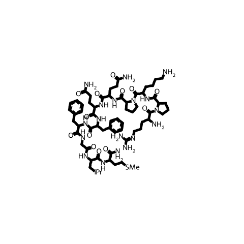 CSCCC(NC(=O)C(CC(C)C)NC(=O)CNC(=O)C(Cc1ccccc1)NC(=O)C(Cc1ccccc1)NC(=O)C(CCC(N)=O)NC(=O)C(CCC(N)=O)NC(=O)C1CCCN1C(=O)C(CCCCN)NC(=O)C1CCCN1C(=O)C(N)CCCN=C(N)N)C(N)=O